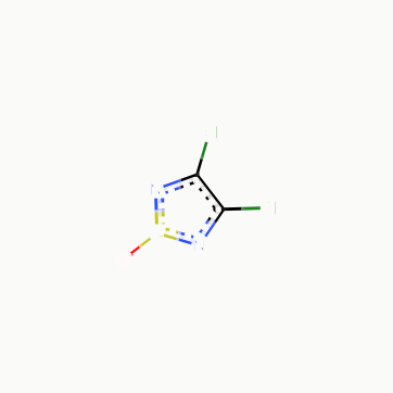 [O-][s+]1nc(Cl)c(Cl)n1